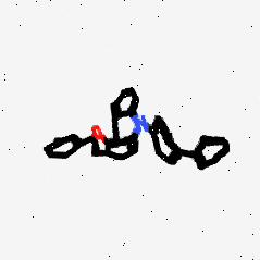 c1ccc(-c2ccc(-n3c4ccccc4c4c5oc(-c6ccccc6)cc5ccc43)cc2)cc1